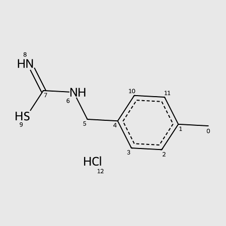 Cc1ccc(CNC(=N)S)cc1.Cl